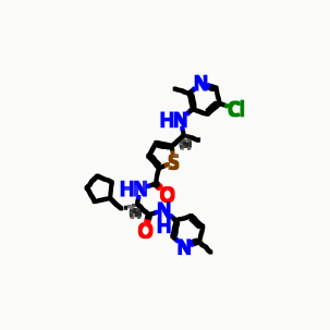 Cc1ccc(NC(=O)[C@H](CC2CCCC2)NC(=O)c2ccc([C@H](C)Nc3cc(Cl)cnc3C)s2)cn1